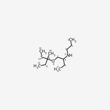 CCCNC(CC)COC(C)(CC)SC